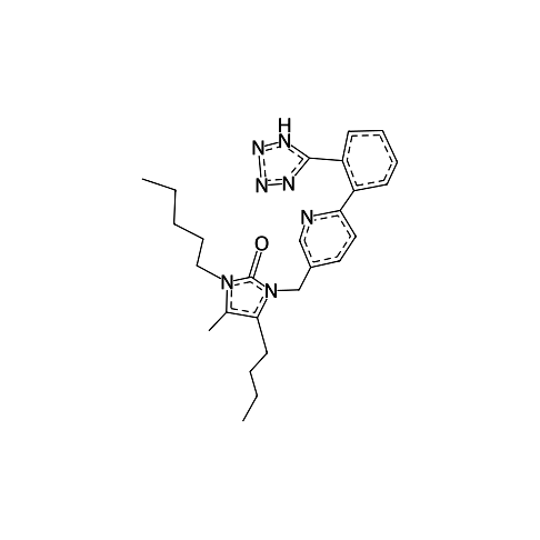 CCCCCn1c(C)c(CCCC)n(Cc2ccc(-c3ccccc3-c3nnn[nH]3)nc2)c1=O